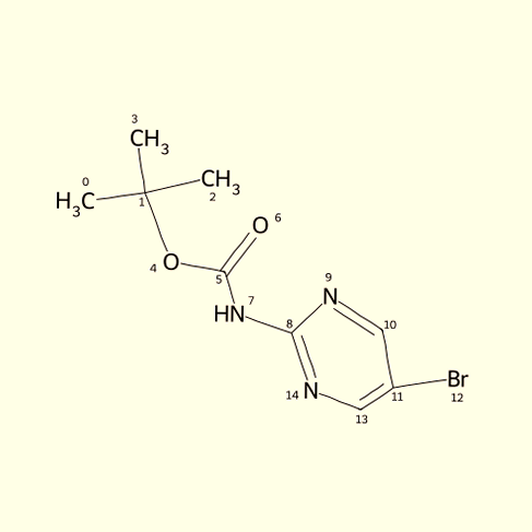 CC(C)(C)OC(=O)Nc1ncc(Br)cn1